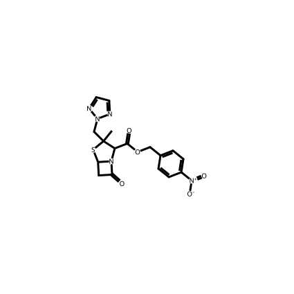 CC1(Cn2nccn2)SC2CC(=O)N2C1C(=O)OCc1ccc([N+](=O)[O-])cc1